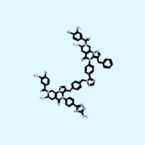 Cc1nnc(-c2ccc(-n3c(=O)c4c(n5ncc(Cc6ccc(Cn7ncnc7-c7ccc(-n8c(=O)c9c(n%10ncc(Cc%11ccccc%11)c8%10)CN(C(=O)c8ccc(Br)c(C(F)(F)F)c8)C(C)C9)cc7)cc6)c35)CN(C(=O)c3ccc(Br)c(C(F)(F)F)c3)C(C)C4)cc2)[nH]1